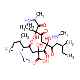 CC[C@H](C)[C@@H](NC)C(=O)CC(O)(C(=O)O)C(=O)C(O)(CC(=O)C(C)(O)C(=O)[C@@H](C)NC)C(=O)[C@H](NC)[C@@H](C)CC